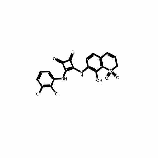 O=c1c(Nc2ccc3c(c2O)S(=O)(=O)CC=C3)c(Nc2cccc(Cl)c2Cl)c1=O